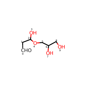 O=CCC(O)OCC(O)CO